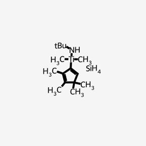 CC1=C(C)C(C)(C)C=[C]1[Ti]([CH3])([CH3])[NH]C(C)(C)C.[SiH4]